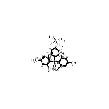 C[N+](C)(C)C.Cc1cc(C)c([B-](C)(c2ccccc2)c2c(C)cc(C)cc2C)c(C)c1